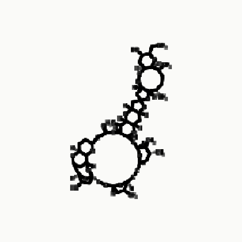 C=C1[C@H](C)C[C@@H]2CC[C@@H]3O[C@@H](CC[C@]45C[C@@H](O)[C@H](O4)C4C[C@@H](O5)C5O[C@H](CC[C@@H]5O4)CC(=O)O[C@@H]4[C@@H](C)[C@@H]5O[C@@H]6C[C@]7(C[C@@H]8OO[C@H]9C[C@@H](O)[C@@H](CN)O[C@H]9[C@@H](C)CC[C@H](C)[C@@H]8O7)O[C@@H]6C[C@@H]5O[C@H]4C[C@H]1O2)CC3C